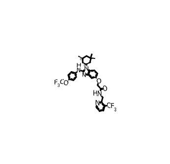 C[C@@H]1C[C@@H](n2c(Nc3ccc(OC(F)(F)F)cc3)nc3cc(OCC(=O)NCc4ncccc4C(F)(F)F)ccc32)CC(C)(C)C1